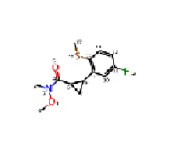 CON(C)C(=O)C1CC1c1cc(F)ccc1SC